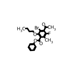 CCCCOc1c(Br)c(C(C)=O)c(F)c(C)c1C(=O)Oc1ccccc1